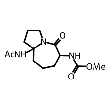 COC(=O)NC1CCCC2(NC(C)=O)CCCN2C1=O